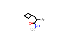 CCCC(CC1CCC1)C(=O)NC(C)(C)C